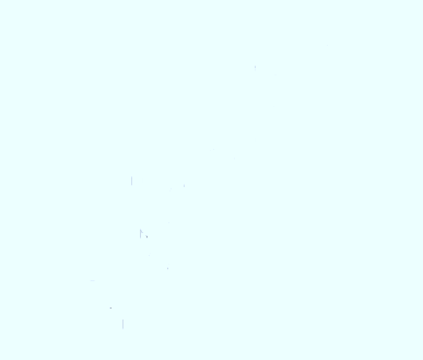 CC(F)(F)CCC(=O)N[C@H]1Cc2cccc(C(=O)OCOC(=O)C3CCOCC3)c2OB1O